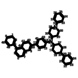 c1ccc(-c2cccc3cc(-c4ccc(N(C5CCC(c6ccccc6)CC5)C5CCN(c6ccccc6)CC5)cc4)ccc23)cc1